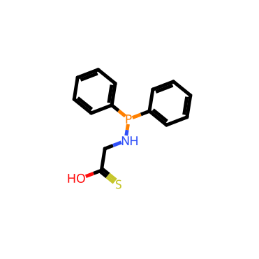 OC(=S)CNP(c1ccccc1)c1ccccc1